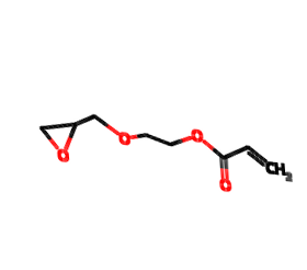 C=CC(=O)OCCOCC1CO1